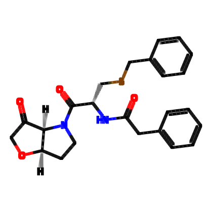 O=C(Cc1ccccc1)N[C@@H](CSCc1ccccc1)C(=O)N1CC[C@H]2OCC(=O)[C@H]21